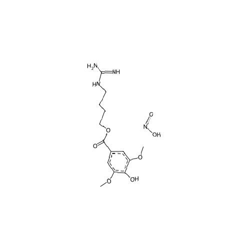 COc1cc(C(=O)OCCCCNC(=N)N)cc(OC)c1O.O=NO